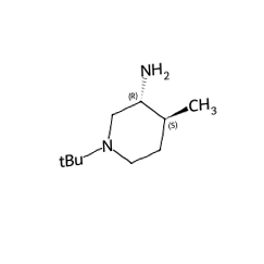 C[C@H]1CCN(C(C)(C)C)C[C@@H]1N